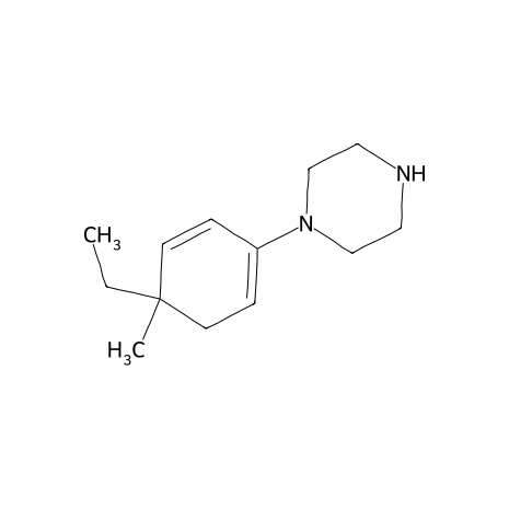 CCC1(C)C=CC(N2CCNCC2)=CC1